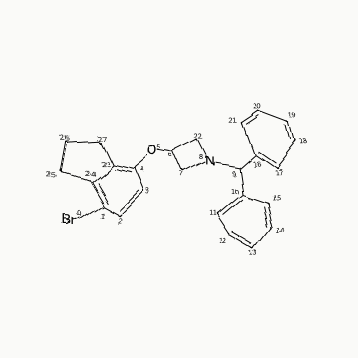 Brc1ccc(OC2CN(C(c3ccccc3)c3ccccc3)C2)c2c1CCC2